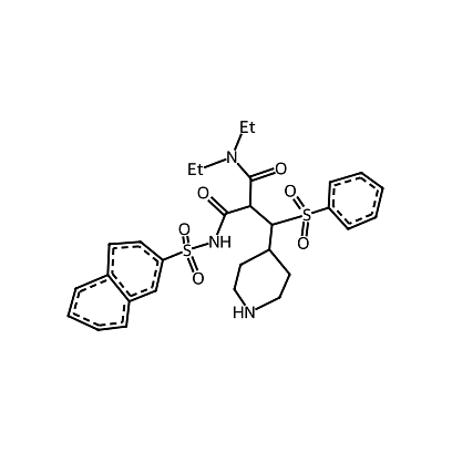 CCN(CC)C(=O)C(C(=O)NS(=O)(=O)c1ccc2ccccc2c1)C(C1CCNCC1)S(=O)(=O)c1ccccc1